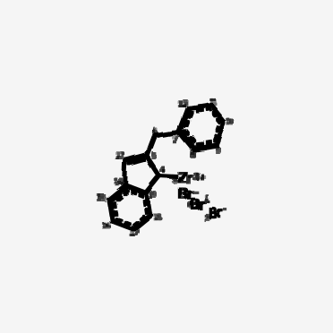 [Br-].[Br-].[Br-].[Zr+3][CH]1C(Cc2ccccc2)=Cc2ccccc21